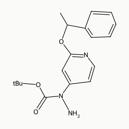 CC(Oc1cc(N(N)C(=O)OC(C)(C)C)ccn1)c1ccccc1